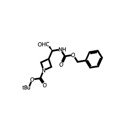 CC(C)(C)OC(=O)N1CC([C@@H](C=O)NC(=O)OCc2ccccc2)C1